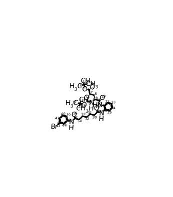 CC(C)(C)OC(=O)CC[C@H](NC(=O)OC(C)(C)C)C(=O)Nc1ccccc1NC(=O)CCCCCC(=O)Nc1cccc(Br)c1